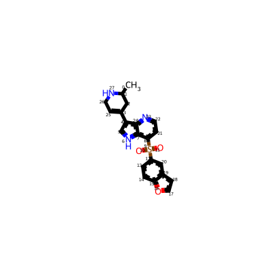 CC1CC(c2c[nH]c3c(S(=O)(=O)c4ccc5occc5c4)ccnc23)=CCN1